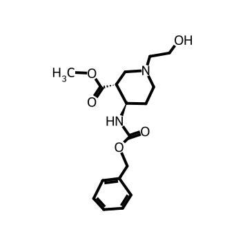 COC(=O)[C@@H]1CN(CCO)CC[C@H]1NC(=O)OCc1ccccc1